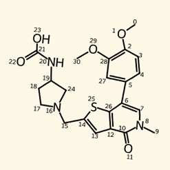 COc1ccc(-c2cn(C)c(=O)c3cc(CN4CCC(NC(=O)O)C4)sc23)cc1OC